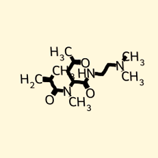 C=C(C)C(=O)N(C)C(CC(C)=O)C(=O)NCCN(C)C